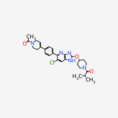 CC(=O)N1CC=C(c2ccc(-c3nc4nc(OC5CCN(C(=O)C(C)C)CC5)[nH]c4cc3Cl)cc2)CC1